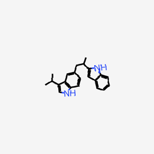 CC(C)c1c[nH]c2ccc(CC(C)c3cc4ccccc4[nH]3)cc12